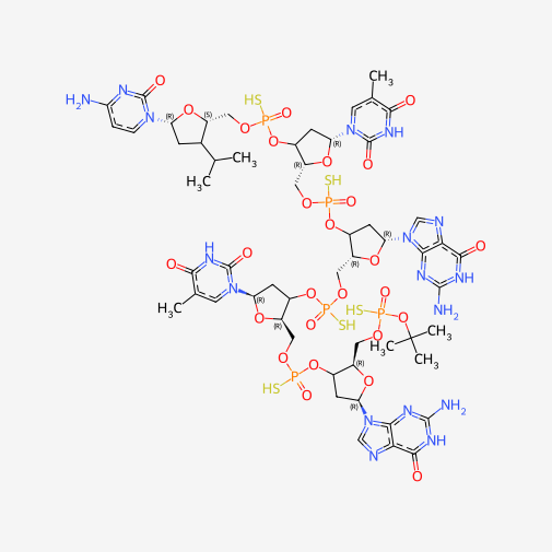 Cc1cn([C@H]2CC(OP(=O)(S)OC[C@H]3O[C@@H](n4ccc(N)nc4=O)CC3C(C)C)[C@@H](COP(=O)(S)OC3C[C@H](n4cnc5c(=O)[nH]c(N)nc54)O[C@@H]3COP(=O)(S)OC3C[C@H](n4cc(C)c(=O)[nH]c4=O)O[C@@H]3COP(=O)(S)OC3C[C@H](n4cnc5c(=O)[nH]c(N)nc54)O[C@@H]3COP(=O)(S)OC(C)(C)C)O2)c(=O)[nH]c1=O